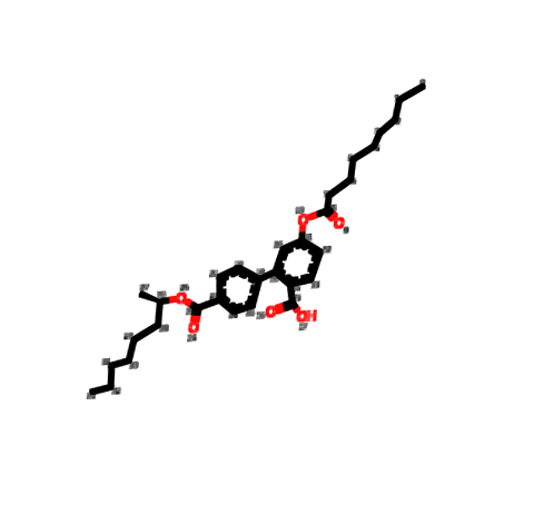 CCCCCCCCC(=O)Oc1ccc(C(=O)O)c(-c2ccc(C(=O)O[C@H](C)CCCCCC)cc2)c1